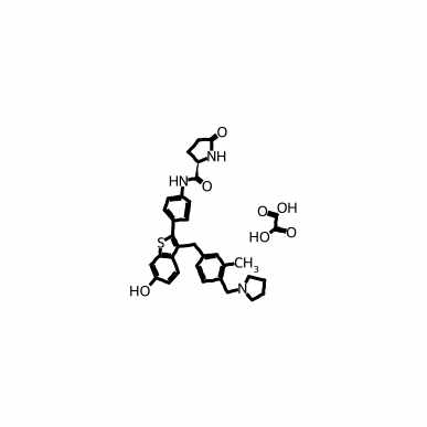 Cc1cc(Cc2c(-c3ccc(NC(=O)[C@H]4CCC(=O)N4)cc3)sc3cc(O)ccc23)ccc1CN1CCCC1.O=C(O)C(=O)O